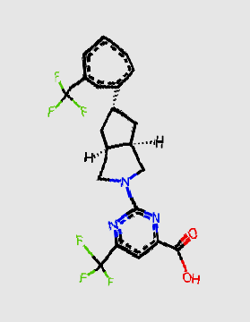 O=C(O)c1cc(C(F)(F)F)nc(N2C[C@H]3C[C@H](c4ccccc4C(F)(F)F)C[C@H]3C2)n1